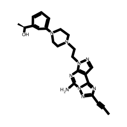 CC#Cc1nc2c3cnn(CCN4CCN(c5cccc([C@H](C)O)c5)CC4)c3nc(N)n2n1